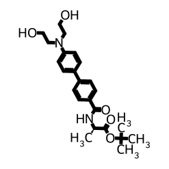 C[C@H](NC(=O)c1ccc(-c2ccc(N(CCO)CCO)cc2)cc1)C(=O)OC(C)(C)C